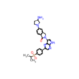 CC(C)S(=O)(=O)c1ccc(-c2cnc3[nH]cc(N4Cc5cc(N6CCC(N)C6)ccc5C4=O)c3n2)cc1